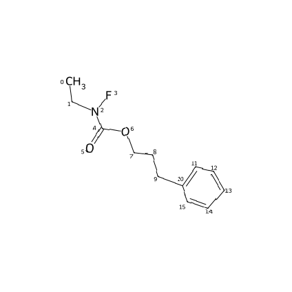 CCN(F)C(=O)OCCCc1ccccc1